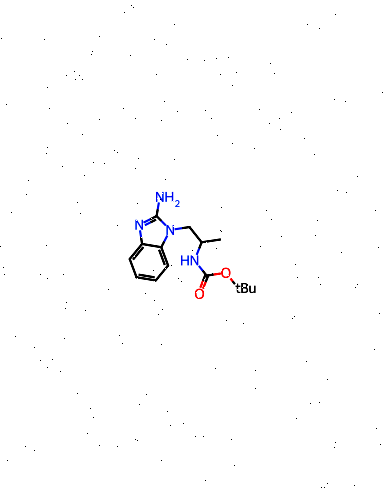 CC(Cn1c(N)nc2ccccc21)NC(=O)OC(C)(C)C